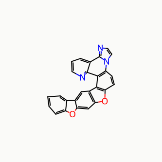 c1ccc2c(c1)oc1cc3oc4ccc5c(c6ncccc6c6nccn56)c4c3cc12